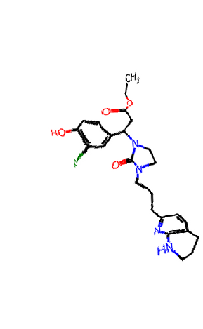 CCOC(=O)C[C@H](c1ccc(O)c(F)c1)N1CCN(CCCc2ccc3c(n2)NCCC3)C1=O